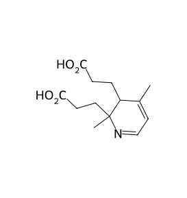 CC1=CC=NC(C)(CCC(=O)O)C1CCC(=O)O